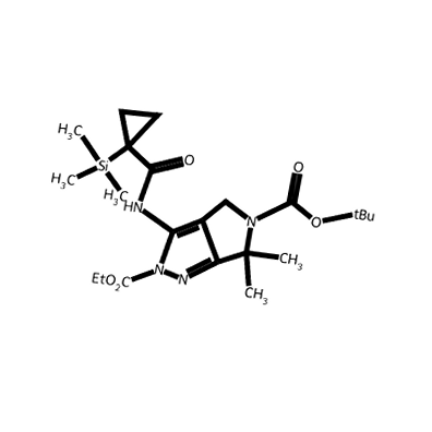 CCOC(=O)n1nc2c(c1NC(=O)C1([Si](C)(C)C)CC1)CN(C(=O)OC(C)(C)C)C2(C)C